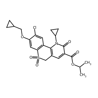 CC(C)OC(=O)c1cc2c(n(C3CC3)c1=O)-c1cc(Cl)c(OCC3CC3)cc1S(=O)(=O)C2